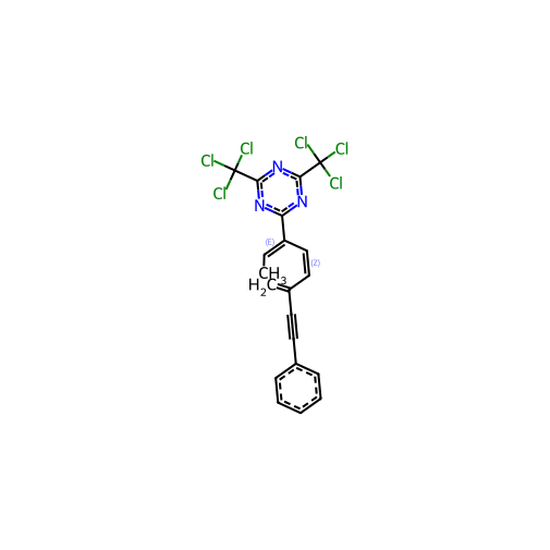 C=C(C#Cc1ccccc1)/C=C\C(=C/C)c1nc(C(Cl)(Cl)Cl)nc(C(Cl)(Cl)Cl)n1